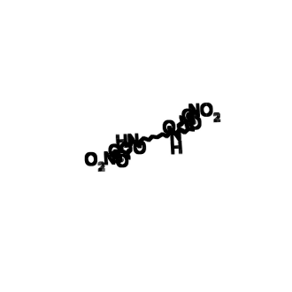 Cc1cc(NC(=O)CCCCCCC(=O)Nc2cc(C)c(S(=O)(=O)C[N+](=O)[O-])c(C)c2)cc(C)c1S(=O)(=O)C[N+](=O)[O-]